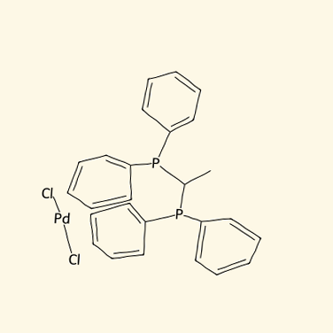 CC(P(c1ccccc1)c1ccccc1)P(c1ccccc1)c1ccccc1.[Cl][Pd][Cl]